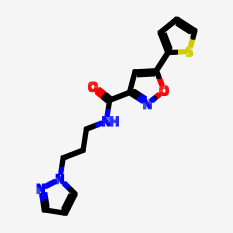 O=C(NCCCn1cccn1)c1cc(-c2cccs2)on1